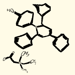 C[N+](C)(C)CC(=O)[O-].Oc1ccc(N2C(c3ccccc3)=CC(c3ccccc3)=CC2c2ccccc2)cc1